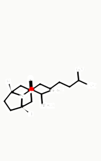 CCCCCC(CCCCC)C(=O)N1[C@@H]2CC[C@H]1CN(CCCCC(CCCC)CCCC)C2